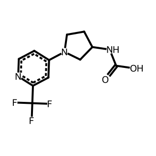 O=C(O)NC1CCN(c2ccnc(C(F)(F)F)c2)C1